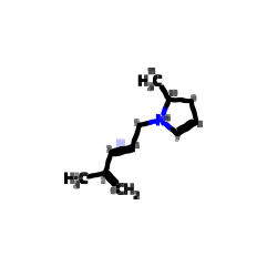 C=C(C)/C=C/CN1C=CCC1C